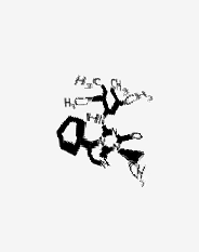 CC/C(C)=C\C(NC1=NC(=O)N(CC)C2=NCC(c3ccccc3)N12)=C(\C)CC